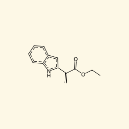 C=C(C(=O)OCC)c1cc2ccccc2[nH]1